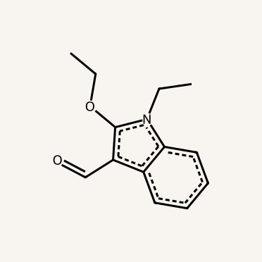 CCOc1c(C=O)c2ccccc2n1CC